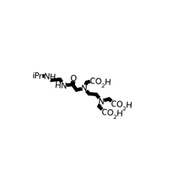 CC(C)NCCNC(=O)CN(CCN(CC(=O)O)CC(=O)O)CC(=O)O